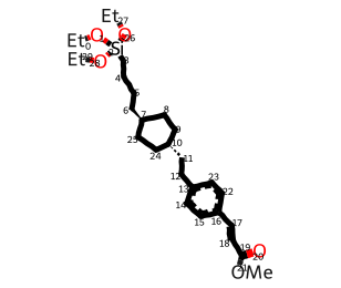 CCO[Si](CCCC[C@H]1CC[C@H](CCc2ccc(C=CC(=O)OC)cc2)CC1)(OCC)OCC